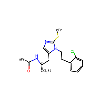 CCCSc1ncc(C[C@H](NC(=O)CCC)C(=O)OCC)n1CCc1ccccc1Cl